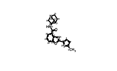 Cc1ccc(-c2nc3c(C(=O)NC4CN5CCC4CC5)cccc3o2)s1